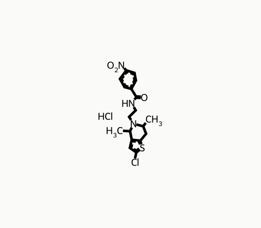 CC1Cc2sc(Cl)cc2C(C)N1CCNC(=O)c1ccc([N+](=O)[O-])cc1.Cl